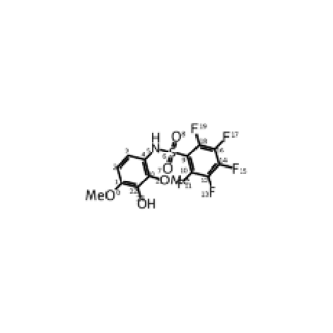 COc1ccc(NS(=O)(=O)c2c(F)c(F)c(F)c(F)c2F)c(OC)c1O